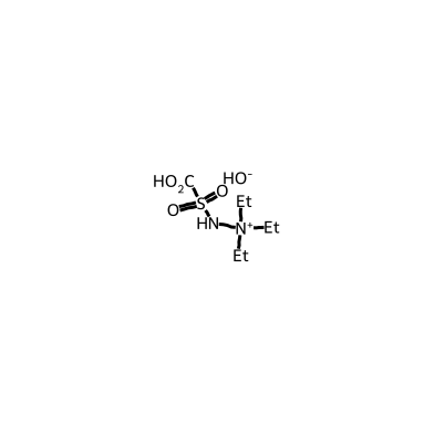 CC[N+](CC)(CC)NS(=O)(=O)C(=O)O.[OH-]